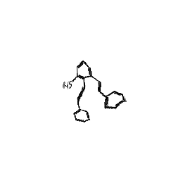 Sc1cccc(C=Cc2ccccc2)c1C=Cc1ccccc1